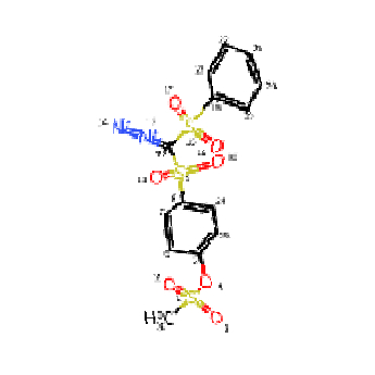 CS(=O)(=O)Oc1ccc(S(=O)(=O)C(=[N+]=[N-])S(=O)(=O)c2ccccc2)cc1